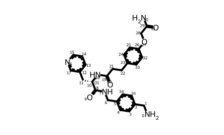 NCc1ccc(CNC(=O)[C@H](Cc2cccnc2)NC(=O)[CH]Cc2ccc(OCC(N)=O)cc2)cc1